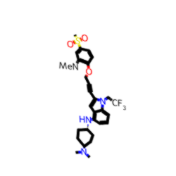 CNc1cc(S(C)(=O)=O)ccc1OCC#Cc1cc2c(N[C@H]3CC[C@H](N(C)C)CC3)cccc2n1CC(F)(F)F